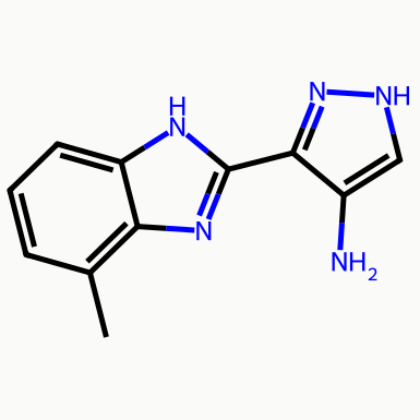 Cc1cccc2[nH]c(-c3n[nH]cc3N)nc12